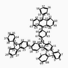 c1ccc(-c2ccccc2-c2ccc3c(c2)c2ccc(-c4ccc5c(c4)c4ccccc4n5-c4ccccc4)cc2n3-c2ccc(-c3c4ccccc4c(-c4ccccc4)c4ccccc34)cc2)cc1